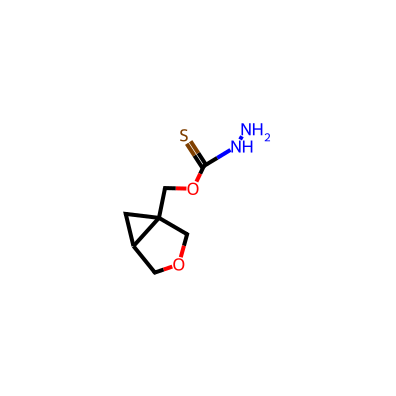 NNC(=S)OCC12COCC1C2